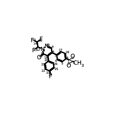 CS(=O)(=O)c1ccc(-c2cnn(C(F)C(F)F)c(=O)c2-c2ccc(F)cc2)cc1